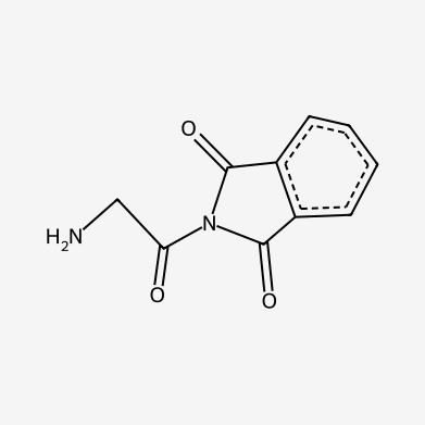 NCC(=O)N1C(=O)c2ccccc2C1=O